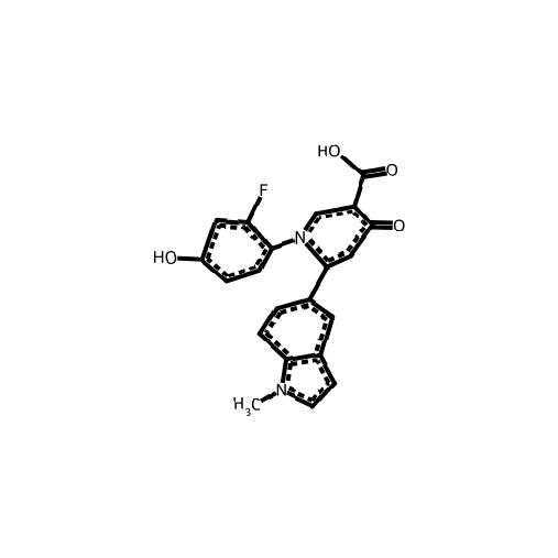 Cn1ccc2cc(-c3cc(=O)c(C(=O)O)cn3-c3ccc(O)cc3F)ccc21